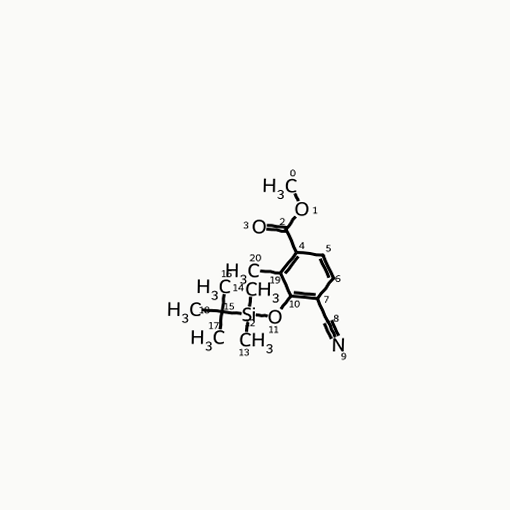 COC(=O)c1ccc(C#N)c(O[Si](C)(C)C(C)(C)C)c1C